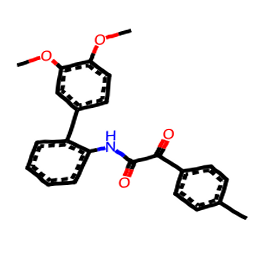 COc1ccc(-c2ccccc2NC(=O)C(=O)c2ccc(C)cc2)cc1OC